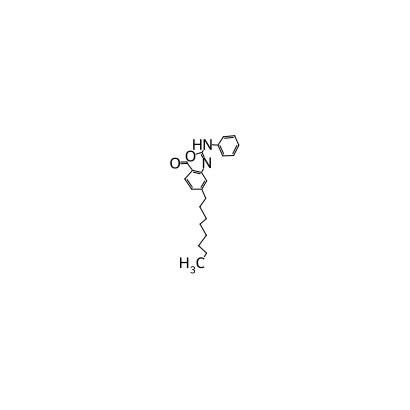 CCCCCCCCc1ccc2c(=O)oc(Nc3ccccc3)nc2c1